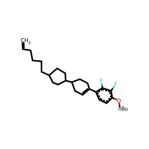 C=CCCCCC1CCC(C2CC=C(c3ccc(OCCCC)c(F)c3F)CC2)CC1